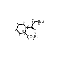 CCOC(=O)[C@H]1CCCCN1C(=O)OC(C)(C)C